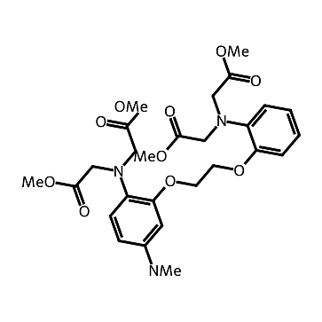 CNc1ccc(N(CC(=O)OC)CC(=O)OC)c(OCCOc2ccccc2N(CC(=O)OC)CC(=O)OC)c1